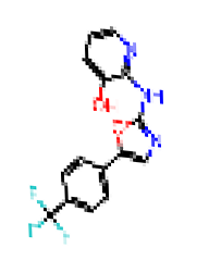 Oc1cccnc1Nc1ncc(-c2ccc(C(F)(F)F)cc2)o1